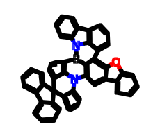 c1ccc2c(c1)-c1ccccc1C21c2ccccc2N2c3cc4c(oc5ccccc54)c4c3B(c3cccc1c32)n1c2ccccc2c2cccc-4c21